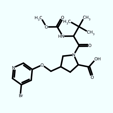 COC(=O)NC(C(=O)N1CC(COc2cncc(Br)c2)CC1C(=O)O)C(C)(C)C